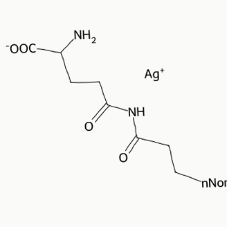 CCCCCCCCCCCC(=O)NC(=O)CCC(N)C(=O)[O-].[Ag+]